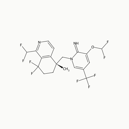 C[C@@]1(Cn2cc(C(F)(F)F)cc(OC(F)F)c2=N)CCC(F)(F)c2c1ccnc2C(F)F